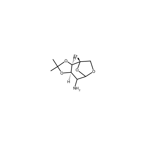 CC[C@@]12COC(O1)C(N)[C@H]1OC(C)(C)O[C@H]12